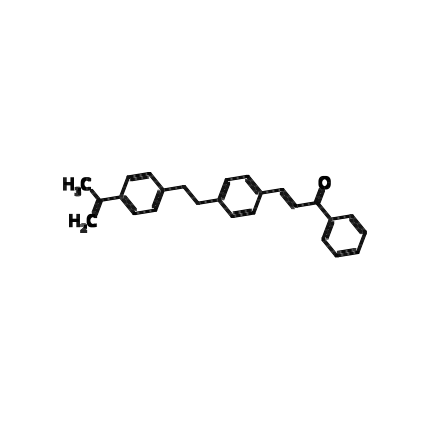 C=C(C)c1ccc(CCc2ccc(C=CC(=O)c3ccccc3)cc2)cc1